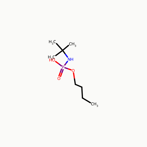 CCCCOP(=O)(O)NC(C)(C)C